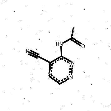 CC(=O)Nc1nnccc1C#N